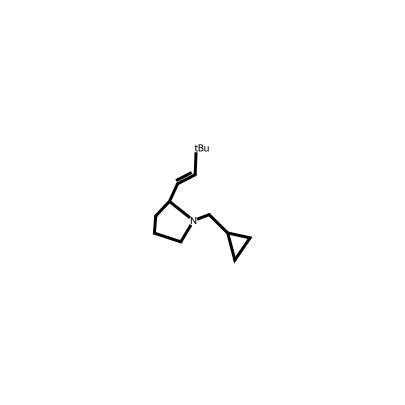 CC(C)(C)/C=C/C1CCCN1CC1CC1